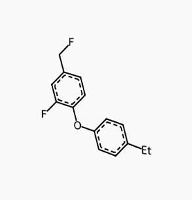 CCc1ccc(Oc2ccc(CF)cc2F)cc1